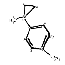 Cc1ccc([Si]2(C)CC2)cc1